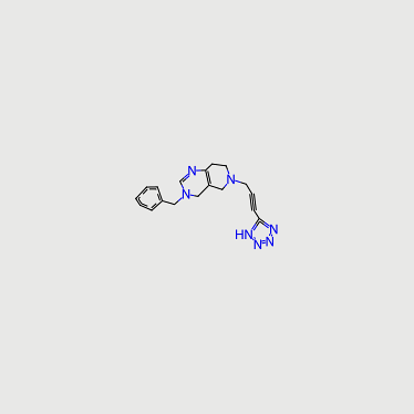 C(#Cc1nnn[nH]1)CN1CCC2=C(CN(Cc3ccccc3)C=N2)C1